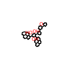 Oc1c(O)c(-c2cccc(-c3ccc4oc5ccccc5c4c3)c2)c(-c2ccc3ccc4cccc5ccc2c3c45)c(O)c1-c1ccc2ccc3c4c(ccc1c24)CCC=3